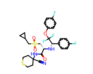 N#CC1(NC(=O)[C@H](CS(=O)(=O)CC2CC2)N[C@@H](c2ccc(F)cc2)C(F)(F)Oc2ccc(F)cc2)CCSCC1